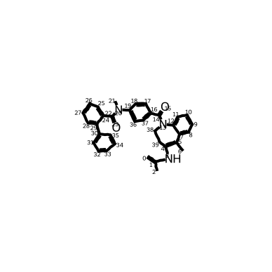 C=C(C)NC1=C(C)c2ccccc2N(C(=O)c2ccc(N(C)C(=O)c3ccccc3-c3ccccc3)cc2)CC1